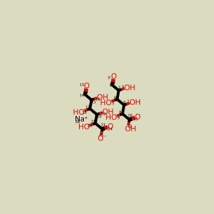 O=CC(O)C(O)C(O)C(O)C(=O)O.O=CC(O)C(O)C(O)C(O)C(=O)[O-].[Na+]